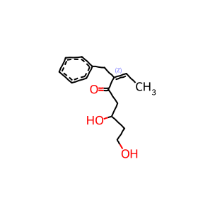 C/C=C(/Cc1ccccc1)C(=O)CC(O)CCO